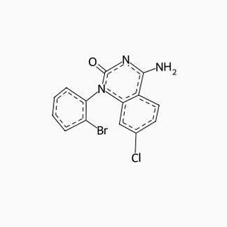 Nc1nc(=O)n(-c2ccccc2Br)c2cc(Cl)ccc12